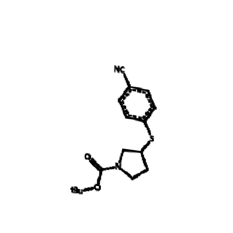 CC(C)(C)OC(=O)N1CCC(Sc2ccc(C#N)cc2)C1